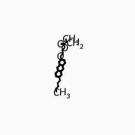 C=C(C)C(=O)OCCOc1ccc2cc3cc(CCCCC)ccc3cc2c1